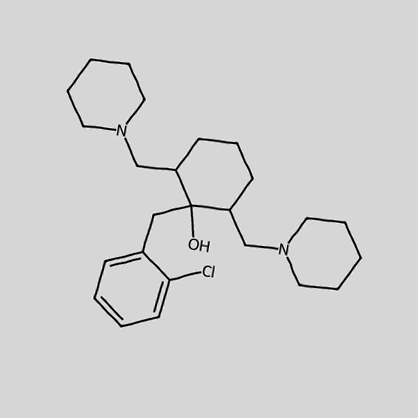 OC1(Cc2ccccc2Cl)C(CN2CCCCC2)CCCC1CN1CCCCC1